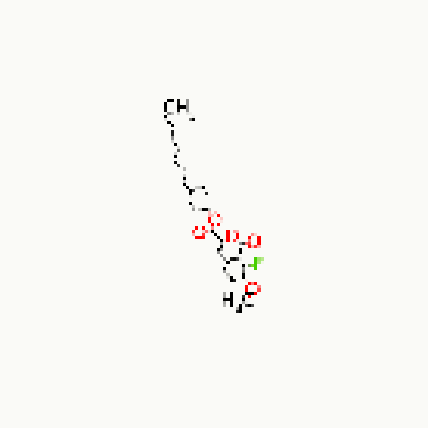 CCCCCCCCC1CCC(OC(=O)c2cc3ccc(OC)c(F)c3c(=O)o2)CC1